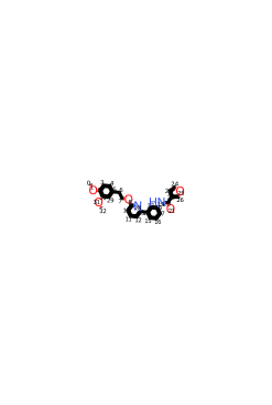 COc1ccc(CCOc2cccc(-c3cccc(NC(=O)c4ccoc4)c3)n2)cc1OC